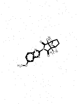 COc1ccc2nc(N3C(=O)C4(C)[C@H]5CC[C@H](O5)[C@]4(C)C3=O)sc2c1